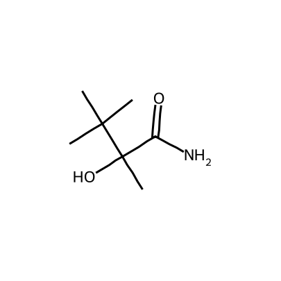 CC(C)(C)C(C)(O)C(N)=O